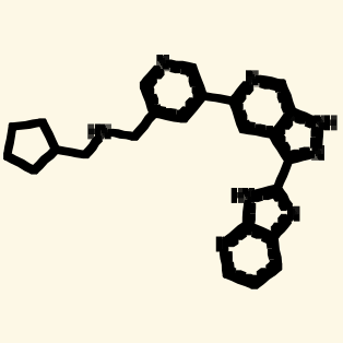 c1cnc2[nH]c(-c3n[nH]c4cnc(-c5cncc(CNCC6CCCC6)c5)cc34)nc2c1